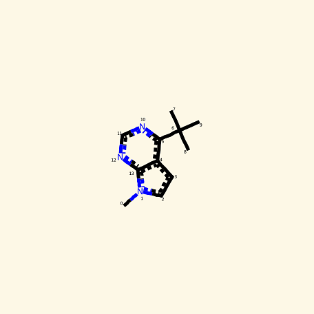 Cn1ccc2c(C(C)(C)C)ncnc21